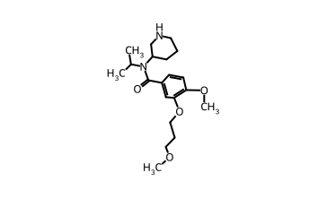 COCCCOc1cc(C(=O)N(C(C)C)C2CCCNC2)ccc1OC